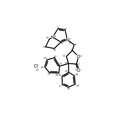 O=C1OC(C[n+]2ccn3c2CCC3)CC1(c1ccccc1)c1ccccc1.[Cl-]